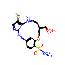 NS(=O)(=O)c1ccc2cc1OCC(CO)CCNc1nc(ncc1Br)N2